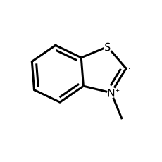 C[n+]1[c]sc2ccccc21